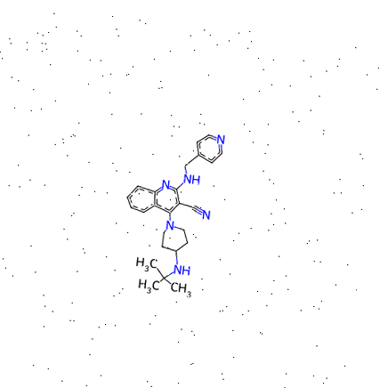 CC(C)(C)NC1CCN(c2c(C#N)c(NCc3ccncc3)nc3ccccc23)CC1